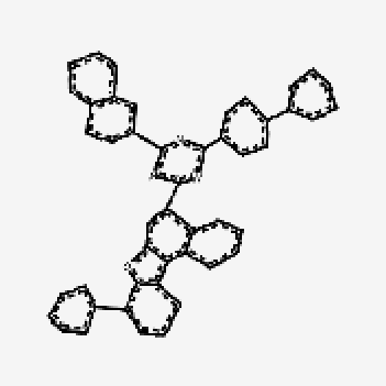 c1ccc(-c2ccc(-c3nc(-c4ccc5ccccc5c4)nc(-c4cc5oc6c(-c7ccccc7)cccc6c5c5ccccc45)n3)cc2)cc1